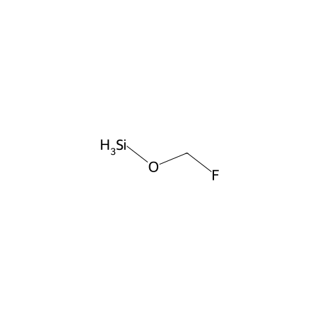 FCO[SiH3]